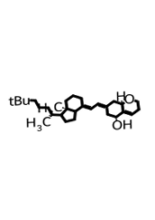 C[C@H](CCCC(C)(C)C)C1CCC2/C(=C/C=C3\C[C@@H](O)C4=CCCO[C@@H]4C3)CCC[C@@]21C